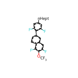 CCCCCCCc1cc(F)c(-c2ccc3c(F)c(OC(F)(F)F)c(F)cc3c2)c(F)c1